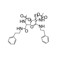 CCS(NS(C)(=O)=O)(SCC(NS(C)(=O)=O)C(=O)NCCc1ccccc1)C(=O)NCCc1ccccc1